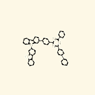 c1ccc(-c2ccc(-c3nc(-c4ccccc4)nc(-c4ccc(-c5ccc6c7ccccc7n(-c7ccc8c(c7)oc7ccccc78)c6c5)cc4)n3)cc2)cc1